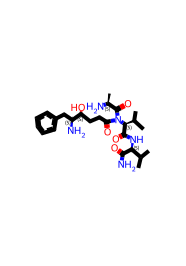 CC(C)[C@H](NC(=O)[C@H](C(C)C)N(C(=O)CC[C@H](O)[C@@H](N)Cc1ccccc1)C(=O)[C@H](C)N)C(N)=O